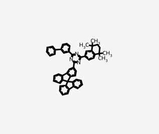 CC1(C)CCC(C)(C)c2cc(-c3nc(-c4cccc(-c5ccccc5)c4)nc(-c4ccc5c(c4)-c4ccccc4C54c5ccccc5-c5ccccc54)n3)ccc21